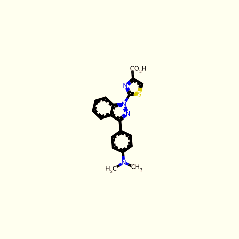 CN(C)c1ccc(-c2nn(-c3nc(C(=O)O)cs3)c3ccccc23)cc1